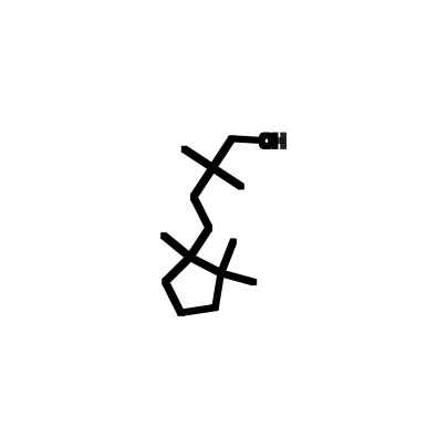 CC(C)(CO)CCC1(C)CCCC1(C)C